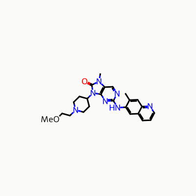 COCCN1CCC(n2c(=O)n(C)c3cnc(Nc4cc5cccnc5cc4C)nc32)CC1